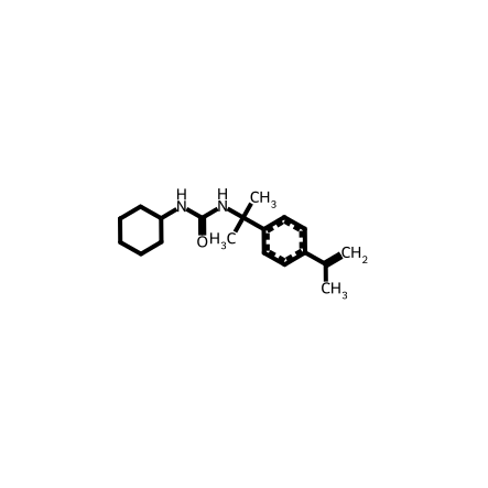 C=C(C)c1ccc(C(C)(C)NC(=O)NC2CCCCC2)cc1